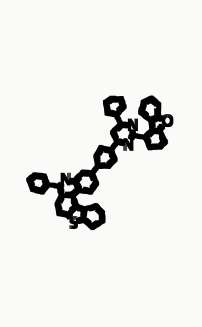 c1ccc(-c2cc(-c3ccc(-c4ccc5c(c4)nc(-c4ccccc4)c4ccc6sc7ccccc7c6c45)cc3)nc(-c3cccc4oc5ccccc5c34)n2)cc1